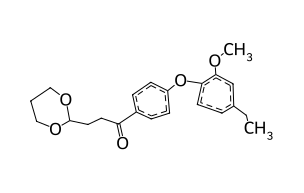 CCc1ccc(Oc2ccc(C(=O)CCC3OCCCO3)cc2)c(OC)c1